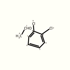 CC=O.Clc1ccccc1Cl